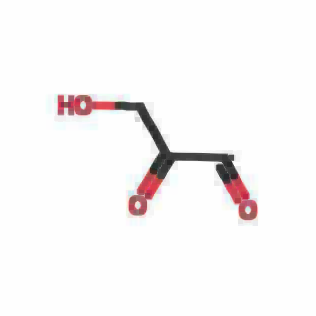 O=[C]C(=O)CO